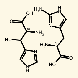 N[C@H](C(=O)O)C(O)c1c[nH]cn1.Nc1nc(C[C@H](N)C(=O)O)c[nH]1